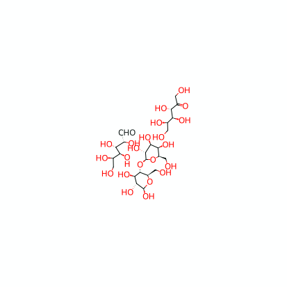 O=C(CO)[C@@H](O)[C@@H](O)[C@H](O)CO.O=C[C@H](O)[C@@H](O)[C@@H](O)[C@H](O)CO.OC[C@H]1O[C@@H](O[C@H]2[C@H](O)[C@@H](O)[C@H](O)O[C@@H]2CO)[C@H](O)[C@@H](O)[C@H]1O